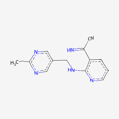 Cc1ncc(CNc2ncccc2C(=N)C#N)cn1